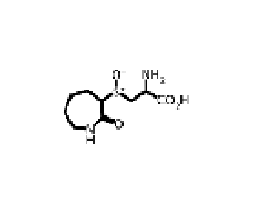 NC(C[S+]([O-])C1CCCCNC1=O)C(=O)O